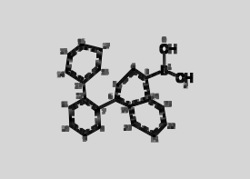 OB(O)c1ccc(-c2ccccc2-c2ccccc2)c2ccccc12